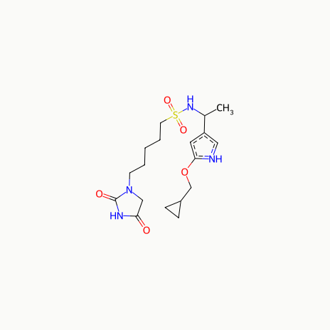 CC(NS(=O)(=O)CCCCCN1CC(=O)NC1=O)c1c[nH]c(OCC2CC2)c1